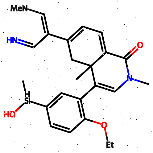 CCOc1ccc([SiH](C)O)cc1C1=CN(C)C(=O)C2=CC=C(/C(C=N)=C/NC)CC21C